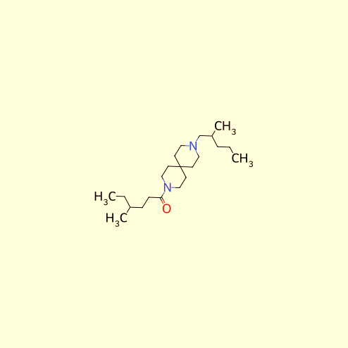 CCCC(C)CN1CCC2(CC1)CCN(C(=O)CCC(C)CC)CC2